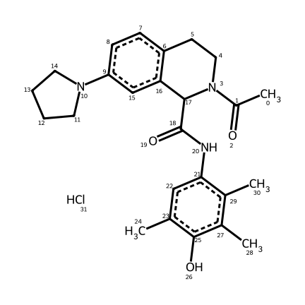 CC(=O)N1CCc2ccc(N3CCCC3)cc2C1C(=O)Nc1cc(C)c(O)c(C)c1C.Cl